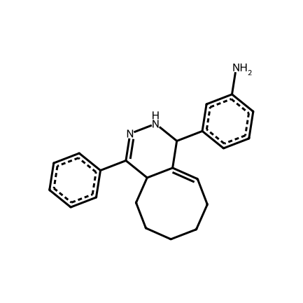 Nc1cccc(C2NN=C(c3ccccc3)C3CCCCC/C=C\32)c1